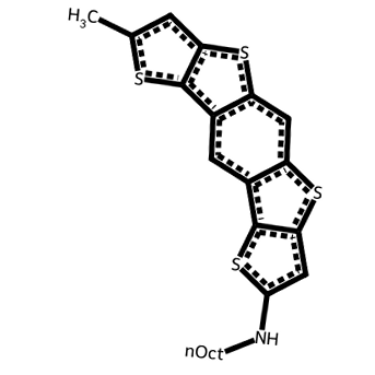 CCCCCCCCNc1cc2sc3cc4sc5cc(C)sc5c4cc3c2s1